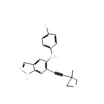 CC1(C#Cc2cc3[nH]ncc3cc2Nc2ccc(F)cc2)COC1